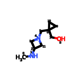 CNC1CN(CC2(CO)CC2)C1